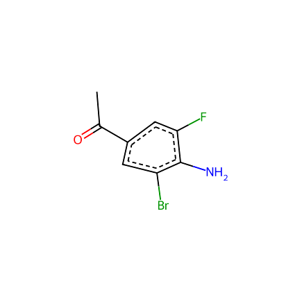 CC(=O)c1cc(F)c(N)c(Br)c1